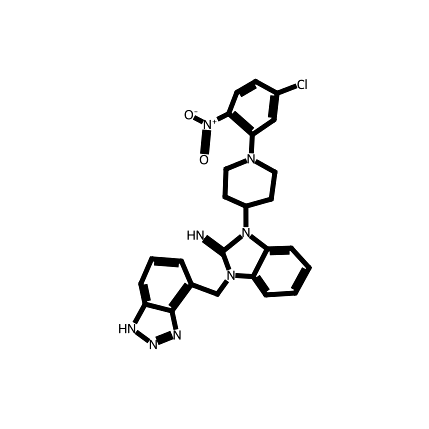 N=c1n(Cc2cccc3[nH]nnc23)c2ccccc2n1C1CCN(c2cc(Cl)ccc2[N+](=O)[O-])CC1